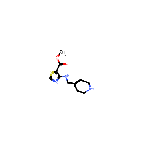 COC(=O)c1scnc1NCC1CCNCC1